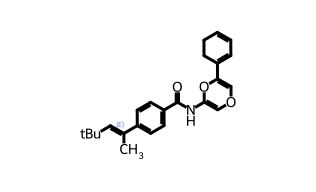 C/C(=C\C(C)(C)C)c1ccc(C(=O)NC2=COC=C(C3=CC=CCC3)O2)cc1